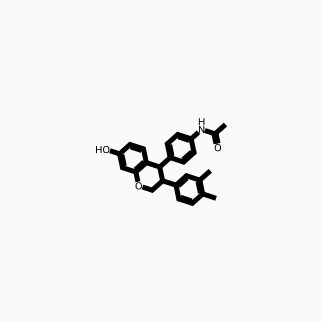 CC(=O)Nc1ccc(C2c3ccc(O)cc3OCC2c2ccc(C)c(C)c2)cc1